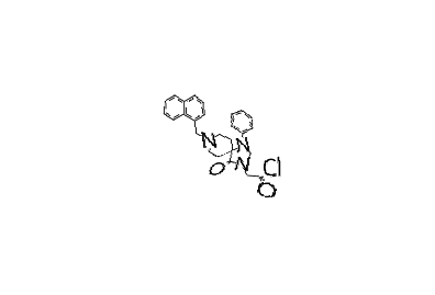 O=C(Cl)CN1CN(c2ccccc2)C2(CCN(Cc3cccc4ccccc34)CC2)C1=O